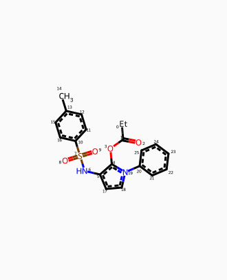 CCC(=O)Oc1c(NS(=O)(=O)c2ccc(C)cc2)ccn1-c1ccccc1